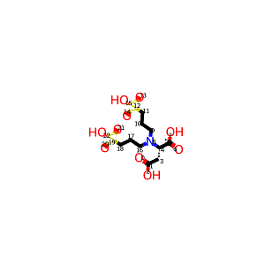 O=C(O)C[C@@H](C(=O)O)N(CCCS(=O)(=O)O)CCCS(=O)(=O)O